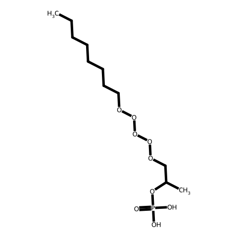 CCCCCCCCOOOOOCC(C)OP(=O)(O)O